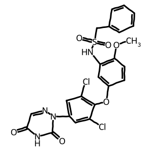 COc1ccc(Oc2c(Cl)cc(-n3ncc(=O)[nH]c3=O)cc2Cl)cc1NS(=O)(=O)Cc1ccccc1